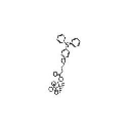 O=C(CCCCl)OCC(F)(F)S(=O)(=O)[O-].c1ccc([S+](c2ccccc2)c2ccccc2)cc1